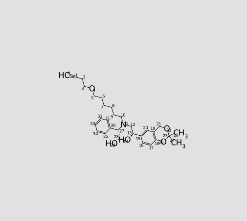 C#CCCOCCCCCCN(C[C@H](O)c1ccc2c(c1)COC(C)(C)O2)[C@H](CO)c1ccccc1